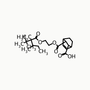 CCC(C)C(C)(C(=O)OCCOC(=O)C1C2C=CC(CC2)C1C(=O)O)C(C)(C)C